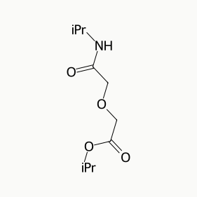 CC(C)NC(=O)COCC(=O)OC(C)C